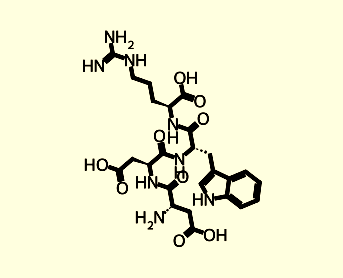 N=C(N)NCCC[C@H](NC(=O)[C@H](Cc1c[nH]c2ccccc12)NC(=O)[C@H](CC(=O)O)NC(=O)[C@@H](N)CC(=O)O)C(=O)O